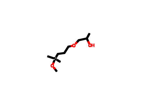 CO[Si](C)(C)CCCOCC(C)O